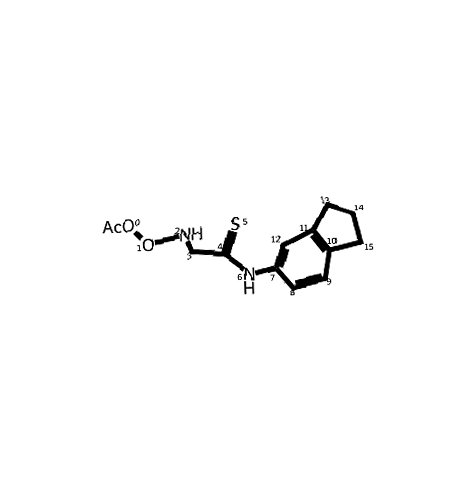 CC(=O)OONCC(=S)Nc1ccc2c(c1)CCC2